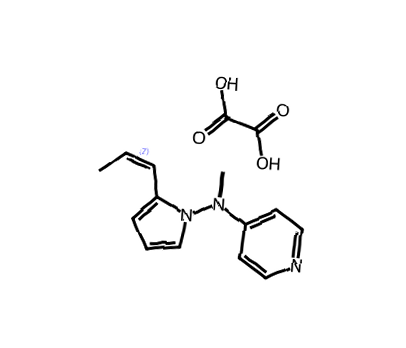 C/C=C\c1cccn1N(C)c1ccncc1.O=C(O)C(=O)O